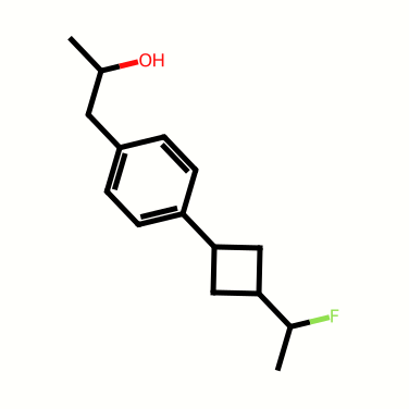 CC(O)Cc1ccc(C2CC(C(C)F)C2)cc1